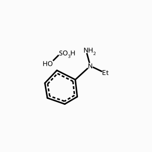 CCN(N)c1ccccc1.O=S(=O)(O)O